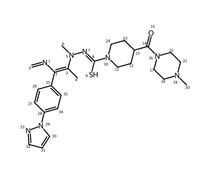 C=N/C(=C(/C)N(C)/N=C(\S)N1CCC(C(=O)N2CCN(C)CC2)CC1)c1ccc(-n2cccn2)cc1